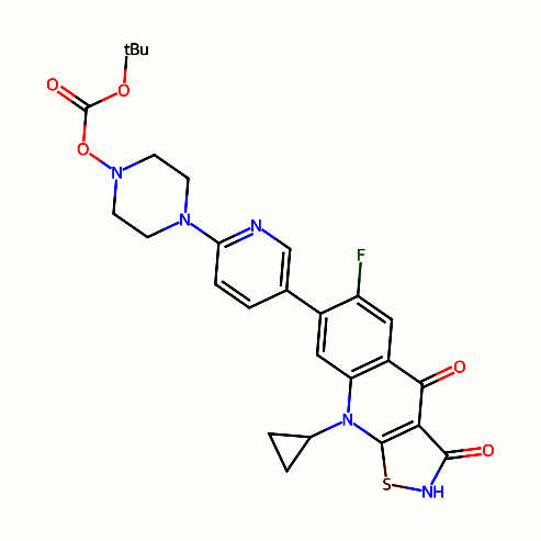 CC(C)(C)OC(=O)ON1CCN(c2ccc(-c3cc4c(cc3F)c(=O)c3c(=O)[nH]sc3n4C3CC3)cn2)CC1